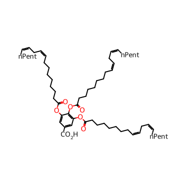 CCCCC/C=C\C/C=C\CCCCCCCC(=O)Oc1cc(C(=O)O)cc(OC(=O)CCCCCCC/C=C\C/C=C\CCCCC)c1OC(=O)CCCCCCC/C=C\C/C=C\CCCCC